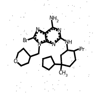 CC(C)C1CCC(C)(C2CCCC2)CC1Nc1nc(N)c2nc(Br)n(CC3CCOCC3)c2n1